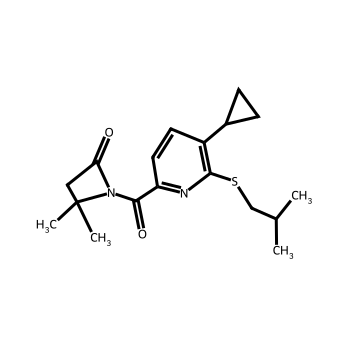 CC(C)CSc1nc(C(=O)N2C(=O)CC2(C)C)ccc1C1CC1